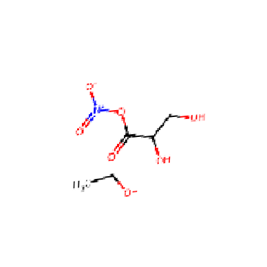 CCO.O=C(O[N+](=O)[O-])C(O)CO